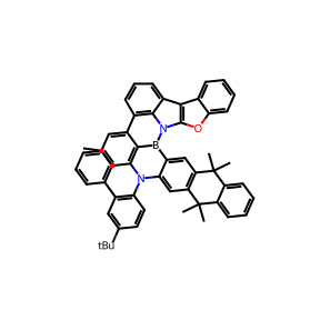 Cc1cc2c3c(c1)N(c1ccc(C(C)(C)C)cc1-c1ccccc1)c1cc4c(cc1B3n1c3oc5ccccc5c3c3cccc-2c31)C(C)(C)c1ccccc1C4(C)C